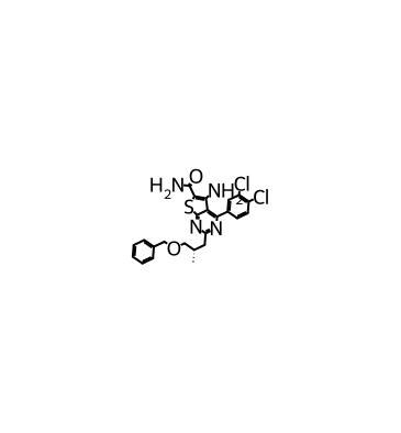 C[C@H](COCc1ccccc1)Cc1nc(-c2ccc(Cl)c(Cl)c2)c2c(N)c(C(N)=O)sc2n1